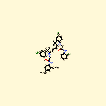 COc1ccc(NC(=O)C[N+]2=C(/C=C/C=C3/N(CC(=O)Nc4ccccc4Cl)c4ccc(Cl)cc4C3(C)C)C(C)(C)c3cc(Cl)ccc32)c(OC)c1